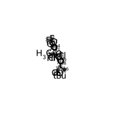 C[C@H]([C@@H](C(=O)Nc1cc([C@@H](CC(=O)OC(C)(C)C)C2CC2)ccc1Cl)c1ccc2c(c1)OC(F)(F)O2)C(F)(F)F